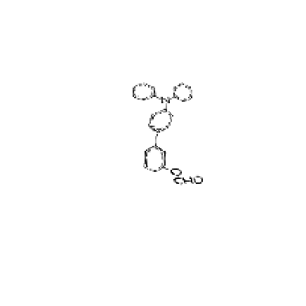 O=COc1cccc(-c2ccc(N(c3ccccc3)c3ccccc3)cc2)c1